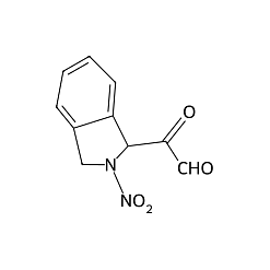 O=CC(=O)C1c2ccccc2CN1[N+](=O)[O-]